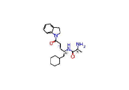 C[C@H](N)C(=O)N[C@H](/C=C/C(=O)N1CCc2ccccc21)CC1CCCCC1